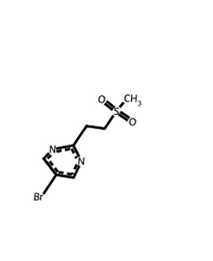 CS(=O)(=O)CCc1ncc(Br)cn1